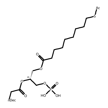 CCCCCCCCCCCC(=O)O[C@H](COC(=O)CCCCCCCCSC(C)=O)COP(=O)(O)O